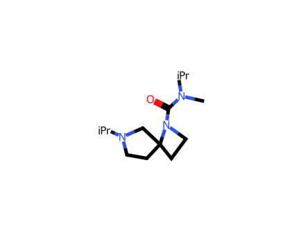 CC(C)N1CCC2(CCN2C(=O)N(C)C(C)C)C1